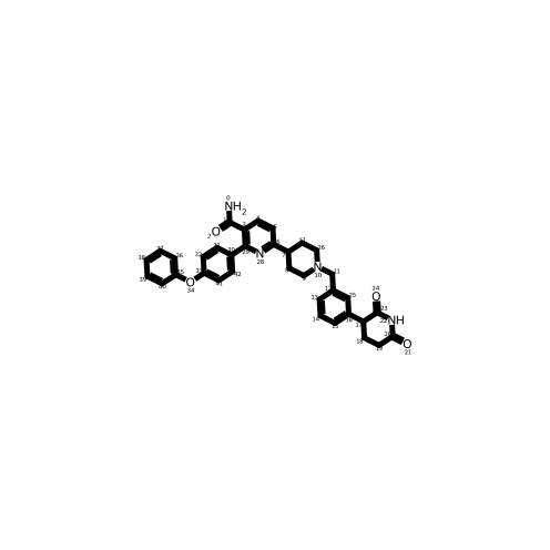 NC(=O)c1ccc(C2CCN(Cc3cccc(C4CCC(=O)NC4=O)c3)CC2)nc1-c1ccc(Oc2ccccc2)cc1